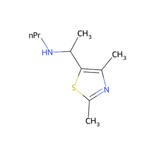 CCCNC(C)c1sc(C)nc1C